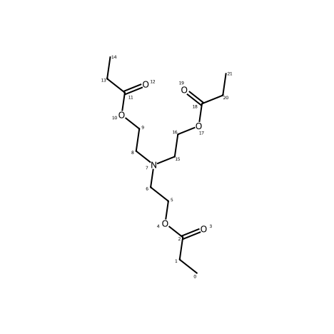 CCC(=O)OCCN(CCOC(=O)CC)CCOC(=O)CC